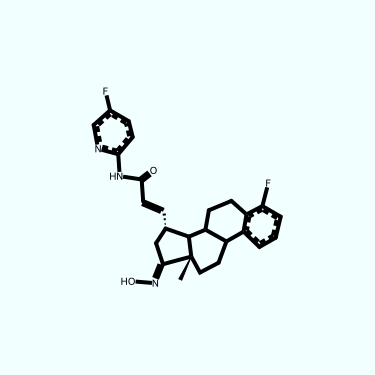 C[C@]12CCC3c4cccc(F)c4CCC3C1[C@@H](C=CC(=O)Nc1ccc(F)cn1)C/C2=N\O